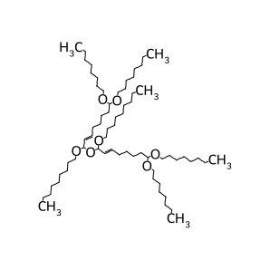 CCCCCCCCCOC(C=CCCCCC(OCCCCCCCC)OCCCCCCCC)OC(C=CCCCCC(OCCCCCCCC)OCCCCCCCC)OCCCCCCCCC